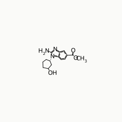 COC(=O)c1ccc2c(c1)nc(N)n2[C@H]1CCC[C@H](O)C1